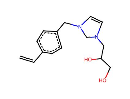 C=Cc1ccc(CN2C=CN(CC(O)CO)C2)cc1